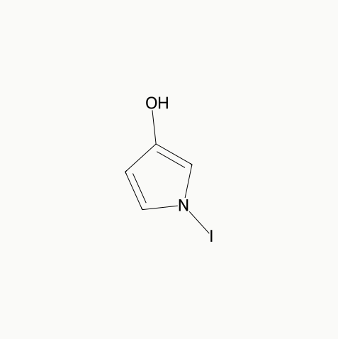 Oc1ccn(I)c1